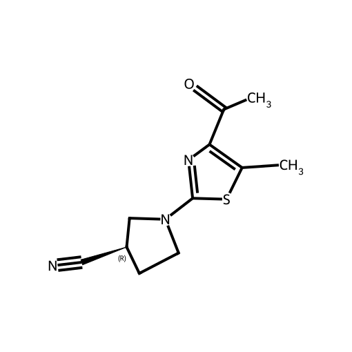 CC(=O)c1nc(N2CC[C@@H](C#N)C2)sc1C